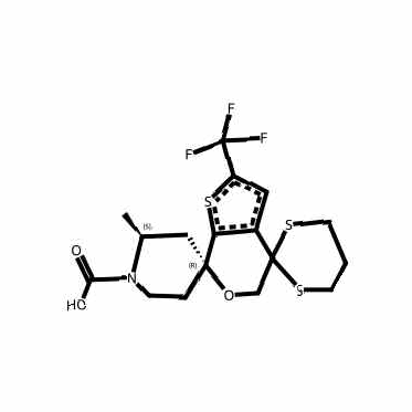 C[C@H]1C[C@@]2(CCN1C(=O)O)OCC1(SCCCS1)c1cc(C(F)(F)F)sc12